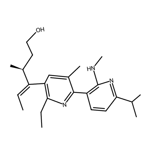 C/C=C(\c1cc(C)c(-c2ccc(C(C)C)nc2NC)nc1CC)[C@@H](C)CCO